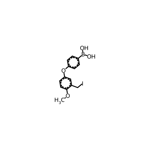 COc1ccc(Oc2ccc(B(O)O)cc2)cc1CI